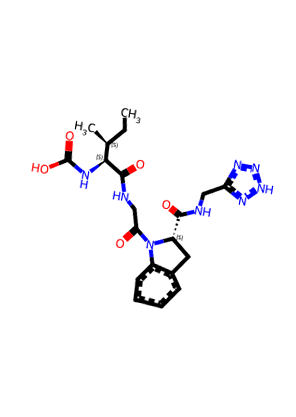 CC[C@H](C)[C@H](NC(=O)O)C(=O)NCC(=O)N1c2ccccc2C[C@H]1C(=O)NCc1nn[nH]n1